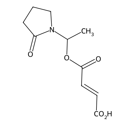 CC(OC(=O)C=CC(=O)O)N1CCCC1=O